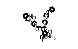 Nc1c(Cl)cc(C[C@@H](CC(=O)N2CCC(N3CCc4ccccc4NC3=O)CC2)C(=O)N2CCC(N3CCN(Cc4ccccc4)CC3)CC2)cc1C(F)(F)F